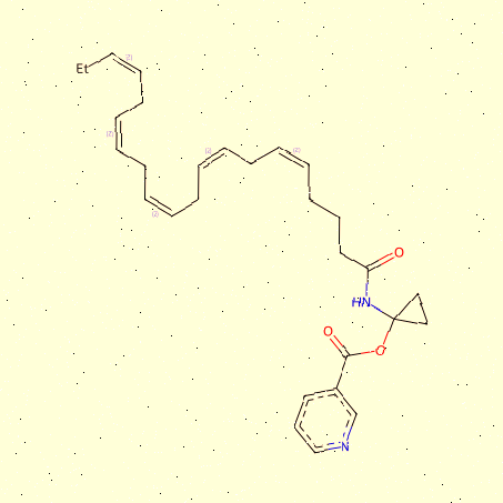 CC/C=C\C/C=C\C/C=C\C/C=C\C/C=C\CCCC(=O)NC1(OC(=O)c2cccnc2)CC1